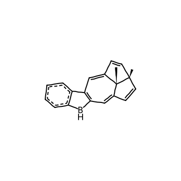 C[C@]12C=CC3=CC4=C(C=C(C=C1)[C@@]32C)c1ccccc1B4